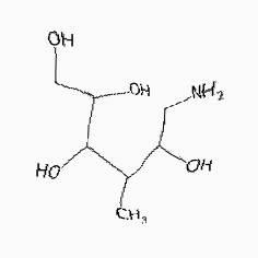 CC(C(O)CN)C(O)C(O)CO